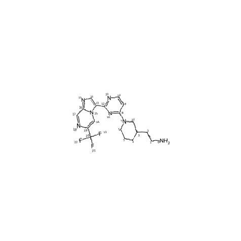 NCCC1CCCN(c2ccnc(-c3cnc4cnc(C(F)(F)F)cn34)n2)C1